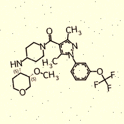 CO[C@@H]1COCC[C@@H]1NC1CCN(C(=O)c2c(C)nn(-c3cccc(OC(F)(F)F)c3)c2C)CC1